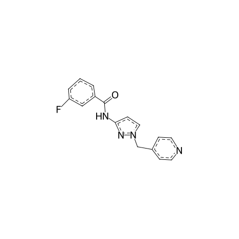 O=C(Nc1ccn(Cc2ccncc2)n1)c1cccc(F)c1